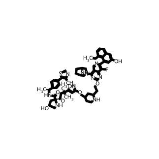 CCc1cccc2cc(O)cc(-c3ncc4c(N5CC6CCC(C5)N6)nc(OCCC5CC(COc6cc(C(C)(C)CC(=O)[C@]7(C(=O)N[C@@H](C)c8ccc(-c9scnc9C)cc8)CC(O)CN7)on6)CCN5)nc4c3F)c12